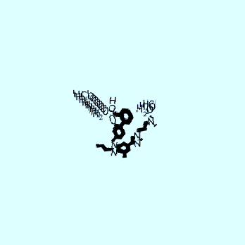 CCCc1nc2c(C)cc(-c3cn(CCCN(C)C)cn3)cc2n1Cc1ccc(-c2ccccc2C(=O)O)cc1.Cl.Cl.O.O.O.O.O.O.O.O.O.O